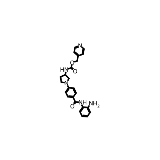 Nc1ccccc1NC(=O)c1ccc(N2CCC(NC(=O)OCc3ccncc3)C2)cc1